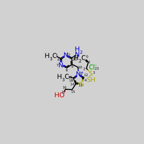 C=CCSS.Cc1ncc(C[n+]2csc(CCO)c2C)c(N)n1.[Cl-]